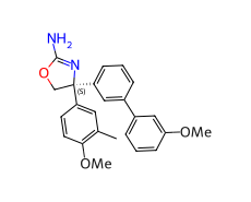 COc1cccc(-c2cccc([C@]3(c4ccc(OC)c(C)c4)COC(N)=N3)c2)c1